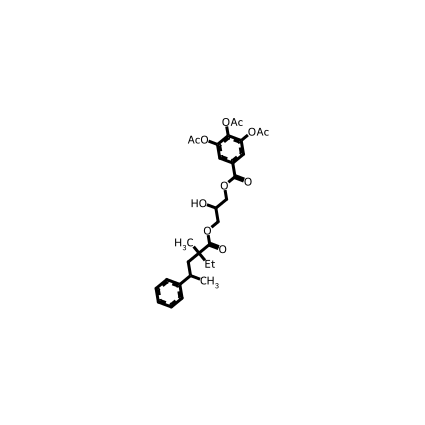 CCC(C)(CC(C)c1ccccc1)C(=O)OCC(O)COC(=O)c1cc(OC(C)=O)c(OC(C)=O)c(OC(C)=O)c1